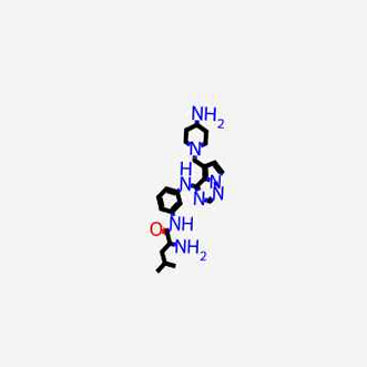 CC(C)CC(N)C(=O)Nc1cccc(Nc2ncnn3ccc(CN4CCC(N)CC4)c23)c1